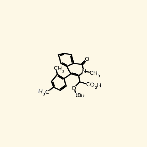 Cc1ccc(-c2c(C(OC(C)(C)C)C(=O)O)n(C)c(=O)c3ccccc23)c(C)c1